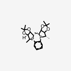 CC1[C@H]2OC(C)(C)OC2[C@H](C)P1c1ccccc1P1[C@@H](C)C2OC(C)(C)OC2[C@@H]1C